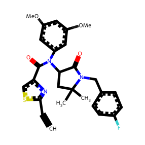 C#Cc1nc(C(=O)N(c2cc(OC)cc(OC)c2)C2CC(C)(C)N(Cc3ccc(F)cc3)C2=O)cs1